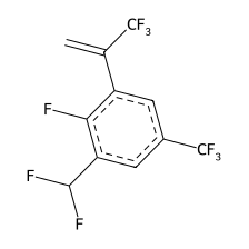 C=C(c1cc(C(F)(F)F)cc(C(F)F)c1F)C(F)(F)F